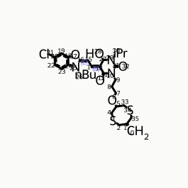 C=C1CSCC(OCCCN2C(=O)/C(=C/C=C3/Oc4cc(Cl)ccc4N3CCCC)C(O)N(C(C)C)C2=O)CSC1